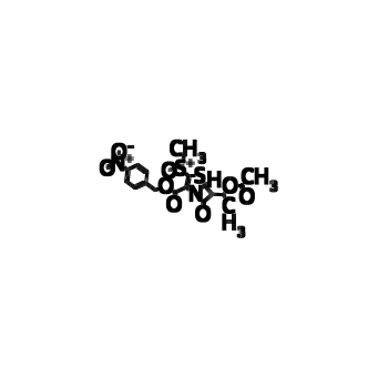 CC[S+]([O-])C1=C(C(=O)OCc2ccc([N+](=O)[O-])cc2)N2C(=O)C(C(C)OC(C)=O)[C@H]2S1